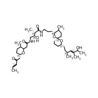 C/C=C/C(=O)C[C@@H]1CCC(C)C(CC(=O)NC[C@H](O)[C@H](C)C(=O)NCCC[C@H]2O[C@@]3(CCC[C@@H](CC[C@H](C)/C=C(\C)C(C)O)O3)CCC2C)O1